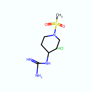 CS(=O)(=O)N1CCC(NC(=N)N)CC1.Cl